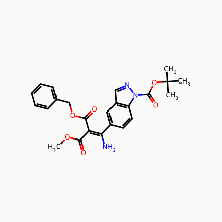 COC(=O)C(C(=O)OCc1ccccc1)=C(N)c1ccc2c(cnn2C(=O)OC(C)(C)C)c1